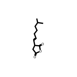 CC(C)CCCC=CC1CC(=O)OC1=O